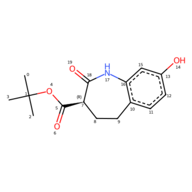 CC(C)(C)OC(=O)[C@@H]1CCc2ccc(O)cc2NC1=O